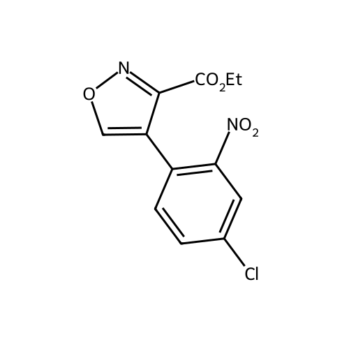 CCOC(=O)c1nocc1-c1ccc(Cl)cc1[N+](=O)[O-]